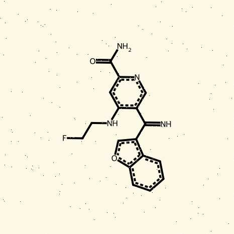 N=C(c1cnc(C(N)=O)cc1NCCF)c1coc2ccccc12